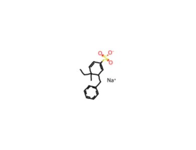 CCC1(C)C=CC(S(=O)(=O)[O-])=CC1Cc1ccccc1.[Na+]